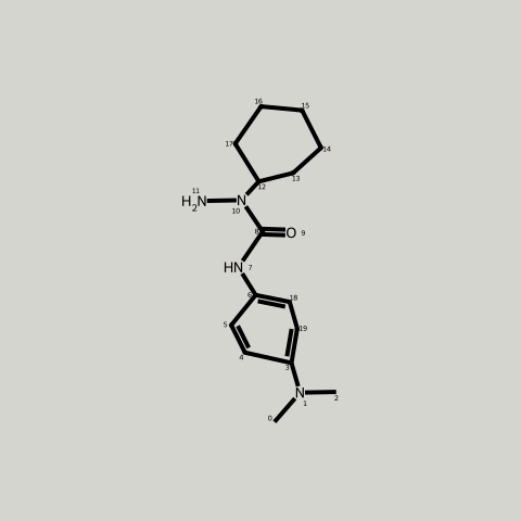 CN(C)c1ccc(NC(=O)N(N)C2CCCCC2)cc1